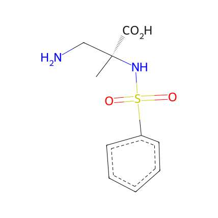 C[C@@](CN)(NS(=O)(=O)c1ccccc1)C(=O)O